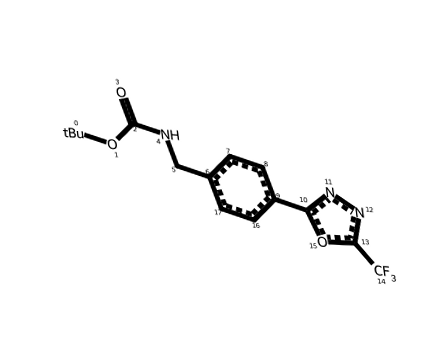 CC(C)(C)OC(=O)NCc1ccc(-c2nnc(C(F)(F)F)o2)cc1